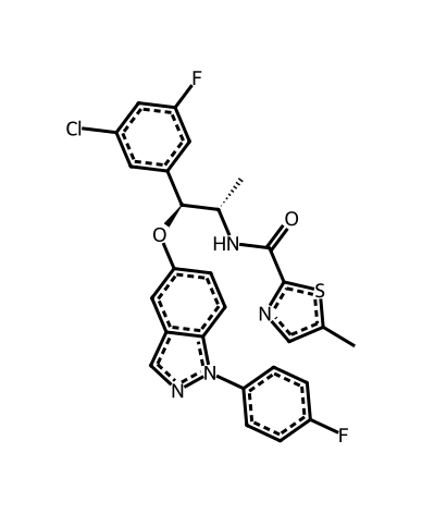 Cc1cnc(C(=O)N[C@@H](C)[C@@H](Oc2ccc3c(cnn3-c3ccc(F)cc3)c2)c2cc(F)cc(Cl)c2)s1